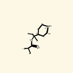 CCC(C)(OC(=O)C(C)I)C1CCNCC1